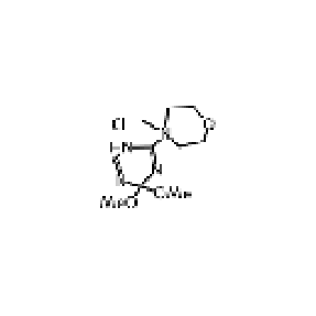 COC1(OC)N=CNC([N+]2(C)CCOCC2)=N1.[Cl-]